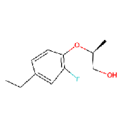 CCc1ccc(O[C@@H](C)CO)c(F)c1